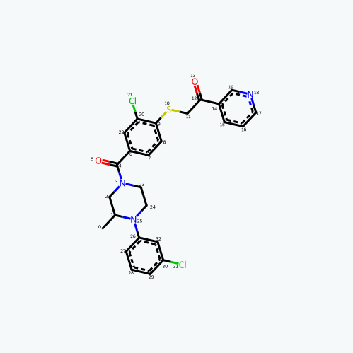 CC1CN(C(=O)c2ccc(SCC(=O)c3cccnc3)c(Cl)c2)CCN1c1cccc(Cl)c1